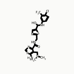 CN(C)Cc1c(N)ncnc1C(=O)NCc1ncc(C(O)Nc2ccc(Cl)c(C(F)(F)F)c2)s1